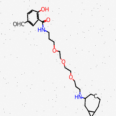 O=Cc1ccc(O)c(C(=O)NCCCOCCOCCOCCCNC2CCCCC3CC3C2)c1